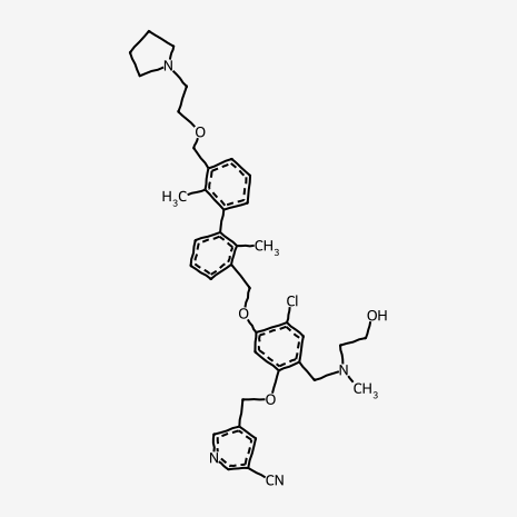 Cc1c(COCCN2CCCC2)cccc1-c1cccc(COc2cc(OCc3cncc(C#N)c3)c(CN(C)CCO)cc2Cl)c1C